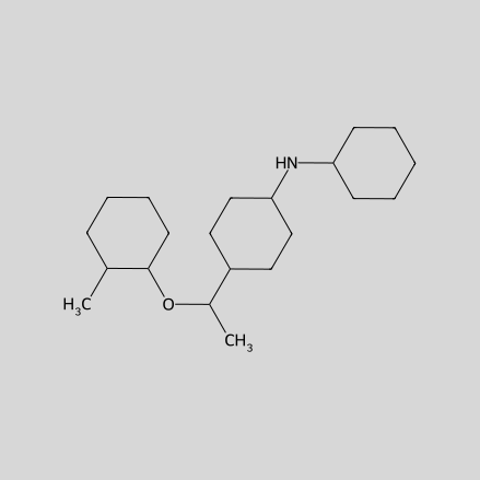 CC1CCCCC1OC(C)C1CCC(NC2CCCCC2)CC1